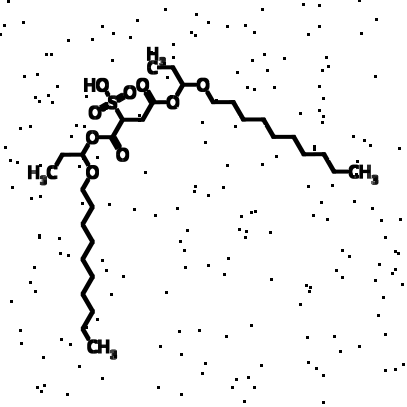 CCCCCCCCCCOC(CC)OC(=O)CC(C(=O)OC(CC)OCCCCCCCCCC)S(=O)(=O)O